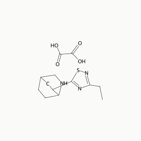 CCc1nsc(C2CC3CCC2NC3)n1.O=C(O)C(=O)O